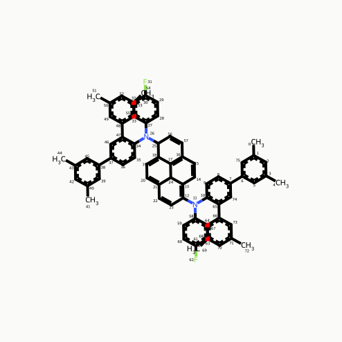 Cc1cc(C)cc(-c2ccc(N(C3=C4C=CC5=C6C(=CC=C(C=C3)C46)C(N(c3ccc(F)cc3)c3ccc(-c4cc(C)cc(C)c4)cc3-c3cc(C)cc(C)c3)C=C5)c3ccc(F)cc3)c(-c3cc(C)cc(C)c3)c2)c1